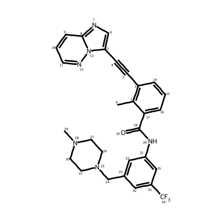 Cc1c(C#Cc2cnc3cccnn23)cccc1C(=O)Nc1cc(CN2CCN(C)CC2)cc(C(F)(F)F)c1